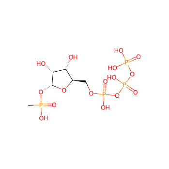 CP(=O)(O)O[C@H]1O[C@H](COP(=O)(O)OP(=O)(O)OP(=O)(O)O)[C@@H](O)[C@H]1O